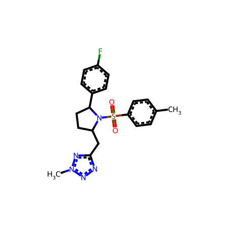 Cc1ccc(S(=O)(=O)N2C(Cc3nnn(C)n3)CCC2c2ccc(F)cc2)cc1